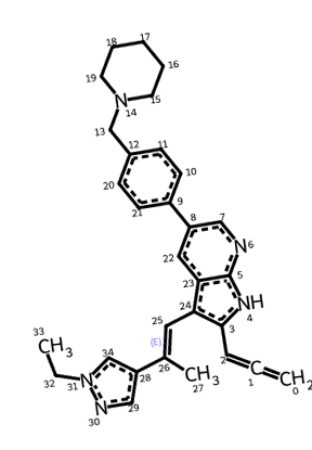 C=C=Cc1[nH]c2ncc(-c3ccc(CN4CCCCC4)cc3)cc2c1/C=C(\C)c1cnn(CC)c1